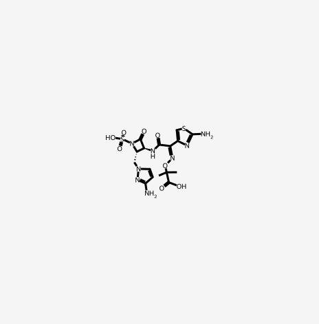 CC(C)(ON=C(C(=O)N[C@@H]1C(=O)N(S(=O)(=O)O)[C@H]1Cn1ccc(N)n1)c1csc(N)n1)C(=O)O